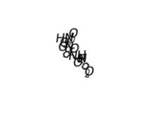 O=C1CCC(N2C(=O)c3cccc(NCc4cnc(-c5ccc(OC6CC6)cc5)o4)c3C2=O)C(=O)N1